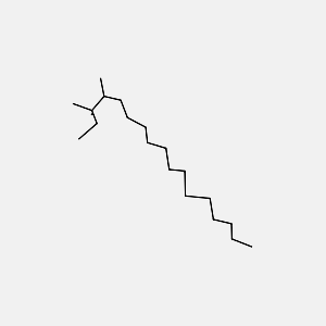 CCCCCCCCCCCCCC(C)[C](C)CC